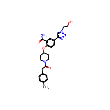 Cc1ccc(CC(=O)N2CCC(Oc3ccc(-c4cn(CCO)nn4)cc3C(N)=O)CC2)cc1